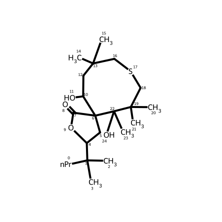 CCCC(C)(C)C1CC2(C(=O)O1)C(O)CC(C)(C)CSCC(C)(C)C2(C)O